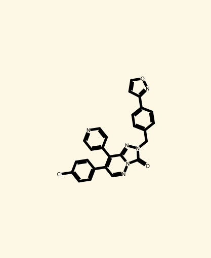 O=c1n(Cc2ccc(-c3ccon3)cc2)nc2c(-c3ccncc3)c(-c3ccc(Cl)cc3)cnn12